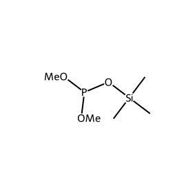 COP(OC)O[Si](C)(C)C